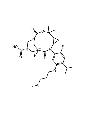 COCCCOc1cc(N2C(=O)[C@@H]3C[C@H](C(=O)O)CN(C3)C(=O)OC(C)(C)C3CC32)c(F)cc1C(C)C